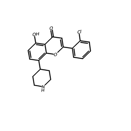 O=c1cc(-c2ccccc2Cl)oc2c(C3CCNCC3)ccc(O)c12